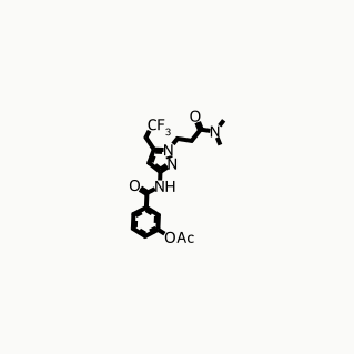 CC(=O)Oc1cccc(C(=O)Nc2cc(CC(F)(F)F)n(CCC(=O)N(C)C)n2)c1